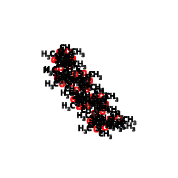 C[SiH](C)O[Si](C)(C)O[Si](C)(C)O[Si](C)(C)O[Si](C)(C)O[Si](C)(C)O[Si](C)(C)O[Si](C)(C)O[Si](C)(C)O[Si](C)(C)O[Si](C)(C)O[Si](C)(C)O[Si](C)(C)O[Si](C)(C)O[Si](C)(C)O[Si](C)(C)O[Si](C)(C)O[Si](C)(C)O[Si](C)(C)O[Si](C)(C)O[Si](C)(C)O[Si](C)(C)O[Si](C)(C)O[Si](C)(C)O[Si](C)(C)O[Si](C)(C)O[Si](C)(C)O[Si](C)(C)C